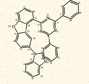 c1ccc(-c2nc(-c3ccccc3)nc(-c3cccc4oc5ccc(-n6cnc7ccccc76)cc5c34)n2)cc1